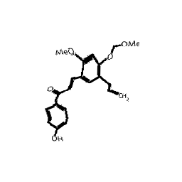 C=CCc1cc(/C=C/C(=O)c2ccc(O)cc2)c(OC)cc1OCOC